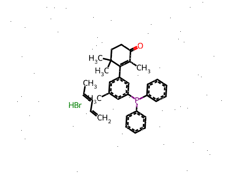 Br.C=CC=CC.CC1=C(c2cc(C)cc(P(c3ccccc3)c3ccccc3)c2)C(C)(C)CCC1=O